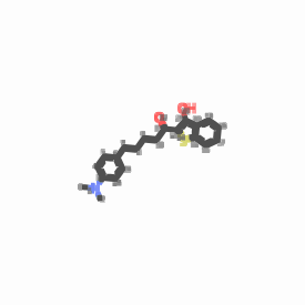 CN(C)c1ccc(C=CC=CC(=O)c2sc3ccccc3c2O)cc1